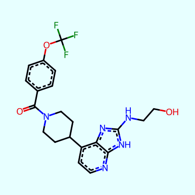 O=C(c1ccc(OC(F)(F)F)cc1)N1CCC(c2ccnc3[nH]c(NCCO)nc23)CC1